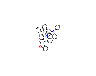 c1ccc(-n2c3ccccc3c3c(N(c4ccccc4-c4cccc5oc6ccccc6c45)c4cccc5c4C4(c6ccccc6-c6ccccc64)c4ccccc4-5)cccc32)cc1